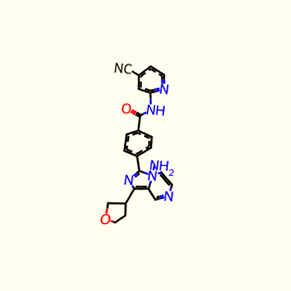 N#Cc1ccnc(NC(=O)c2ccc(C3=NC(C4CCOC4)=C4C=NC=C[N+]34N)cc2)c1